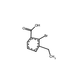 CCc1cccc(C(=O)O)c1Br